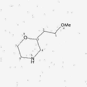 COCCC1CNCCO1